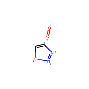 O=O.c1conn1